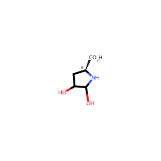 O=C(O)[C@@H]1CC(O)C(O)N1